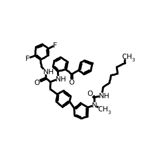 CCCCCCCNC(=O)N(C)c1cccc(-c2ccc(CC(Nc3ccccc3C(=O)c3ccccc3)C(=O)NCc3cc(F)ccc3F)cc2)c1